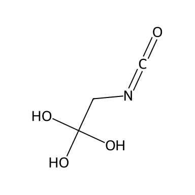 O=C=NCC(O)(O)O